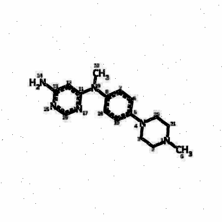 CN1CCN(c2ccc(N(C)c3cc(N)ncn3)cc2)CC1